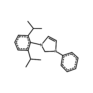 CC(C)c1cccc(C(C)C)c1N1C=CN(c2ccccc2)C1